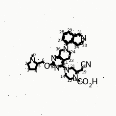 CN1CCCC1COc1nc2c(c(N3CCN(C(=O)O)C(CC#N)C3)n1)CCN(c1cccc3cnccc13)C2